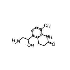 NCC(O)c1ccc(O)c2c1CCC(=O)N2